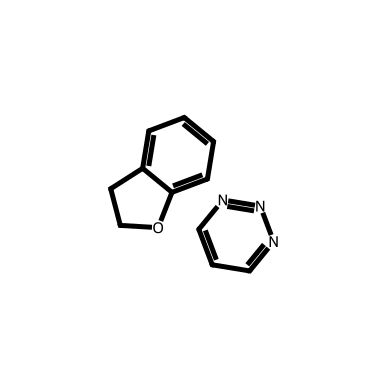 c1ccc2c(c1)CCO2.c1cnnnc1